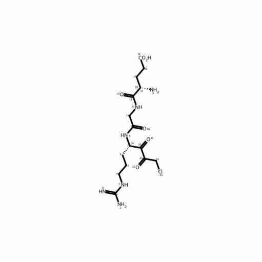 N=C(N)NCCC[C@H](NC(=O)CNC(=O)[C@@H](N)CCC(=O)O)C(=O)C(=O)CCl